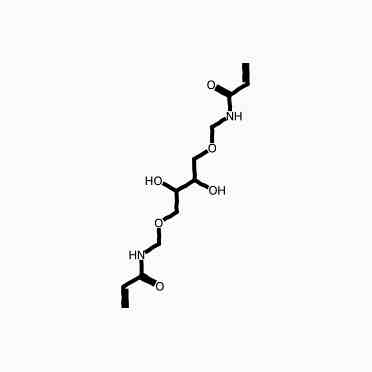 C=CC(=O)NCOCC(O)C(O)COCNC(=O)C=C